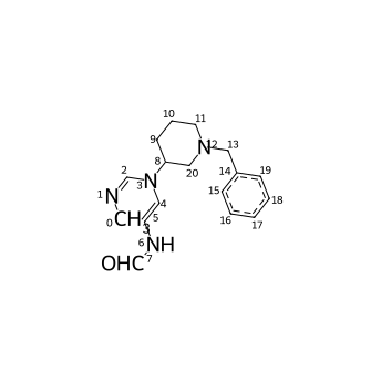 C/N=C\N(/C=C/NC=O)C1CCCN(Cc2ccccc2)C1